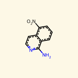 Nc1nccc2c([N+](=O)[O-])cccc12